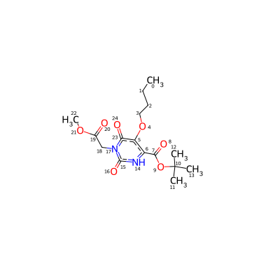 CCCCOc1c(C(=O)OC(C)(C)C)[nH]c(=O)n(CC(=O)OC)c1=O